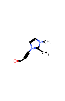 Cc1n(C)cc[n+]1C#CC=O